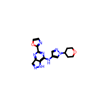 c1coc(-c2nc(Nc3cnn(C4CCOCC4)c3)c3[nH]ncc3n2)n1